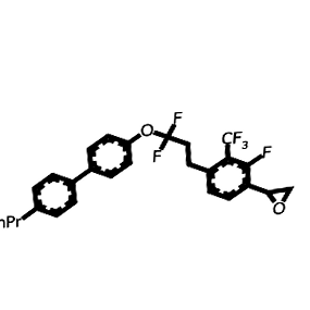 CCCc1ccc(-c2ccc(OC(F)(F)CCc3ccc(C4CO4)c(F)c3C(F)(F)F)cc2)cc1